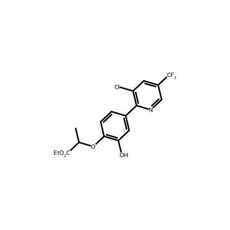 CCOC(=O)C(C)Oc1ccc(-c2ncc(C(F)(F)F)cc2Cl)cc1O